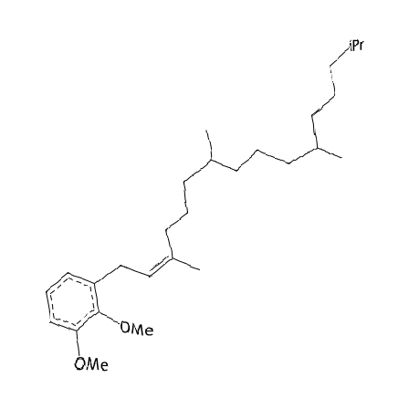 COc1cccc(CC=C(C)CCCC(C)CCCC(C)CCCC(C)C)c1OC